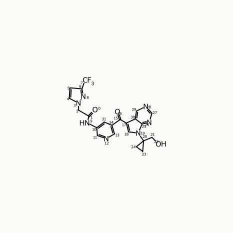 O=C(Cn1ccc(C(F)(F)F)n1)Nc1cncc(C(=O)c2cn(C3(CO)CC3)c3ncncc23)c1